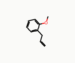 C=CCc1cc[c]cc1OC